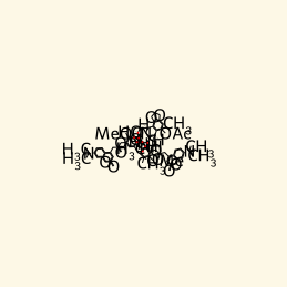 COc1cc2c(cc1OC(=O)Cc1cc(=O)oc3cc(N(C)C)ccc13)CCN[C@]21CS[C@@H]2c3c(OC(C)=O)c(C)c4c(c3[C@H](COC1=O)N1C2[C@H]2c3c(cc(C)c(OC)c3OC(=O)Cc3cc(=O)oc5cc(N(C)C)ccc35)C[C@@H]([C@@H]1O)N2C)OCO4